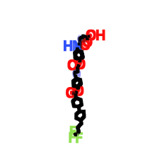 O=C(O)/C=C\C(=O)Nc1ccc(OC(=O)/C=C/c2ccc(OC(=O)C3CCC(C4CCC(CCCC(F)(F)F)CC4)CC3)cc2)cc1